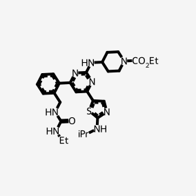 CCNC(=O)NCc1ccccc1-c1cc(-c2cnc(NC(C)C)s2)nc(NC2CCN(C(=O)OCC)CC2)n1